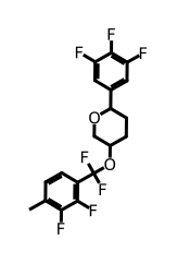 Cc1ccc(C(F)(F)OC2CCC(c3cc(F)c(F)c(F)c3)OC2)c(F)c1F